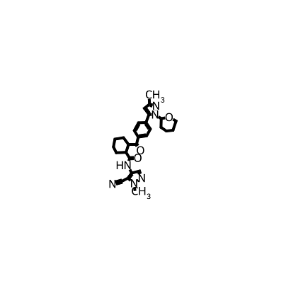 Cc1cc(-c2ccc(C(=O)C3CCCCC3C(=O)Nc3cnn(C)c3C#N)cc2)n(C2CCCCO2)n1